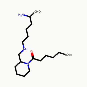 CCCCCCCCCCCCCCC(=O)N1CCCCC1CNCCCCC(N)C=O